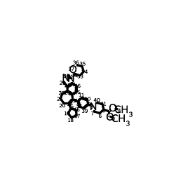 COC(OC)C1CCN(c2ccc(C3=C(C4CCCC4)CCCc4c3ccc3c4cnn3C3CCCCO3)cc2)CC1